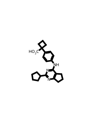 O=C(O)C1(c2ccc(Nc3nc(C4CCCC4)nc4c3CCC4)cc2)CCC1